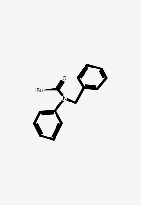 CC[C@H](C)C(=O)N(Cc1ccccc1)c1ccccc1